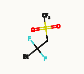 CCC(F)(F)CS(=O)(=O)C(F)(F)F